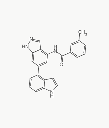 Cc1cccc(C(=O)Nc2cc(-c3cccc4[nH]ccc34)cc3[nH]ncc23)c1